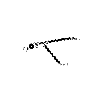 CCCCCC=CCC=CCCCCCCCCOC[C@H](CCOC(=O)Oc1ccc([N+](=O)[O-])cc1)OCCCCCCCCC=CCC=CCCCCC